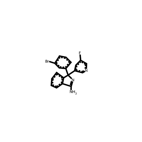 NC1=NC(c2cncc(F)c2)(c2cccc(Br)c2)c2ccccc21